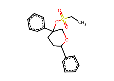 CCS(=O)(=O)OC1(c2ccccc2)CCC(c2ccccc2)OC1